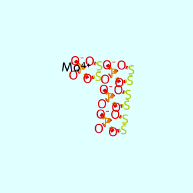 O=P1([O-])OSSO1.O=P1([O-])OSSO1.O=P1([O-])OSSO1.O=P1([O-])OSSO1.[Mo+4]